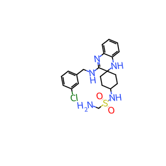 NCS(=O)(=O)NC1CCC2(CC1)Nc1ccccc1N=C2NCc1cccc(Cl)c1